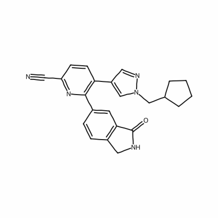 N#Cc1ccc(-c2cnn(CC3CCCC3)c2)c(-c2ccc3c(c2)C(=O)NC3)n1